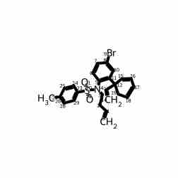 C=CCCN(c1ccc(Br)cc1C1(C=C)C=CC=CC1)S(=O)(=O)c1ccc(C)cc1